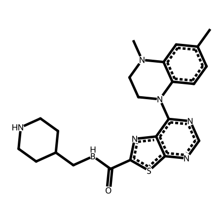 Cc1ccc2c(c1)N(C)CCN2c1ncnc2sc(C(=O)BCC3CCNCC3)nc12